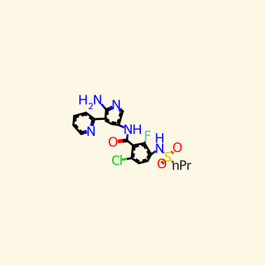 CCCS(=O)(=O)Nc1ccc(Cl)c(C(=O)Nc2cnc(N)c(-c3ccccn3)c2)c1F